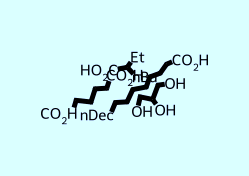 CCCCC(CC)C(=O)O.CCCCCCCCCCCCCCCCCC(=O)O.O=C(O)CCCCC(=O)O.OCC(O)CO